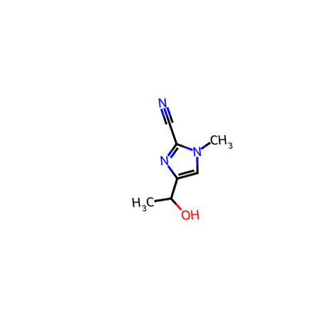 CC(O)c1cn(C)c(C#N)n1